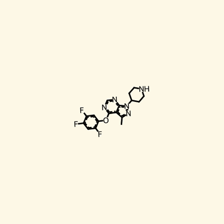 Cc1nn(C2CCNCC2)c2ncnc(Oc3cc(F)c(F)cc3F)c12